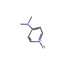 CC[n+]1ccc(N(C)C)cc1